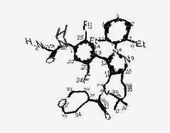 CCc1cccc(CC)c1-n1nc2c(c1-c1cc(F)c(NC(N)=O)cc1F)CN(C(=O)C1CCOCC1)C(C)(C)C2